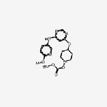 COc1ccc(Nc2cc(OC3CCN(OC(=O)OC(C)(C)C)CC3)ncn2)cn1